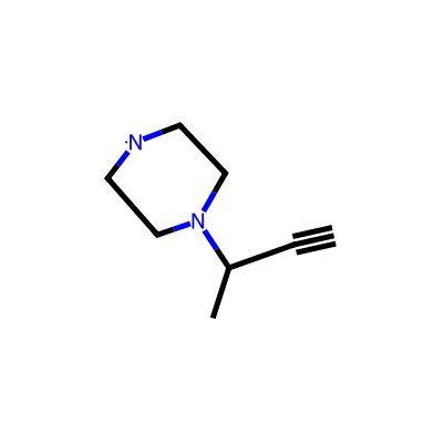 C#CC(C)N1CC[N]CC1